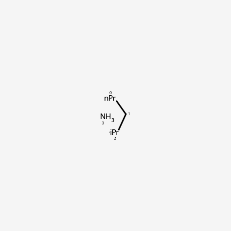 CCCC[C](C)C.N